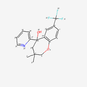 CC1(C)COc2ccc(C(F)(F)F)cc2C(O)(c2ccccn2)C1